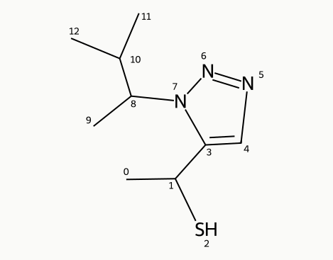 CC(S)c1cnnn1C(C)C(C)C